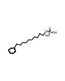 O=P(O)(O)OCCCCCCCCCCc1ccccc1